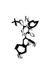 CC(C)(C)OC(=O)N1[C@@H]2CCC(C2)[C@H]1C(=O)NC(C#N)Cc1ccc(Br)cc1F